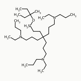 CCCN(CC)CCCC(CCCN(CC)CCC)(CCCN(CC)CCC)CC[SiH2]OC(C)(CC)CC